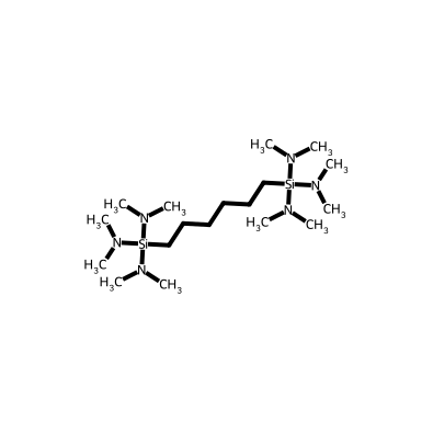 CN(C)[Si](CCCCCC[Si](N(C)C)(N(C)C)N(C)C)(N(C)C)N(C)C